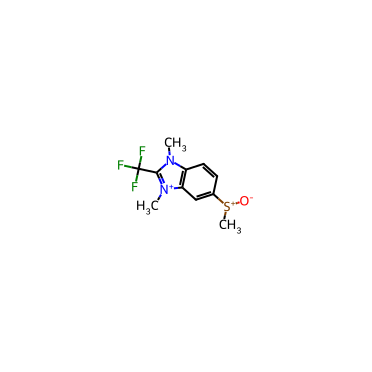 Cn1c(C(F)(F)F)[n+](C)c2cc([S+](C)[O-])ccc21